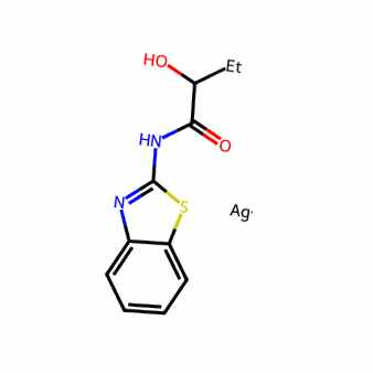 CCC(O)C(=O)Nc1nc2ccccc2s1.[Ag]